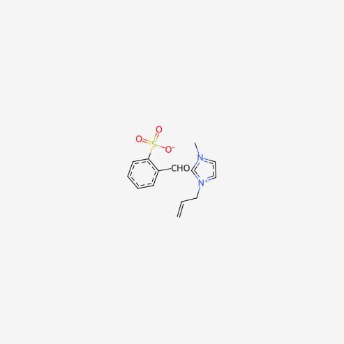 C=CC[n+]1ccn(C)c1.O=Cc1ccccc1S(=O)(=O)[O-]